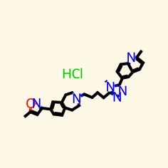 Cc1ccc2cc(-c3nnc(CCCCN4CCc5ccc(-c6cc(C)on6)cc5CC4)n3C)ccc2n1.Cl